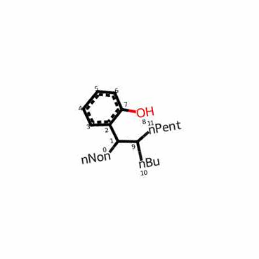 CCCCCCCCCC(c1ccccc1O)C(CCCC)CCCCC